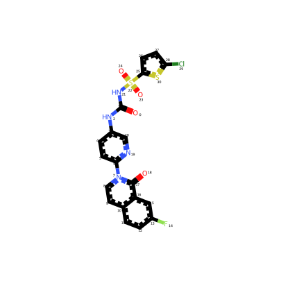 O=C(Nc1ccc(-n2ccc3ccc(F)cc3c2=O)nc1)NS(=O)(=O)c1ccc(Cl)s1